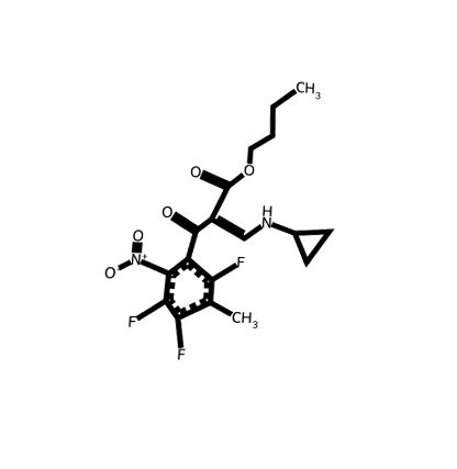 CCCCOC(=O)C(=CNC1CC1)C(=O)c1c(F)c(C)c(F)c(F)c1[N+](=O)[O-]